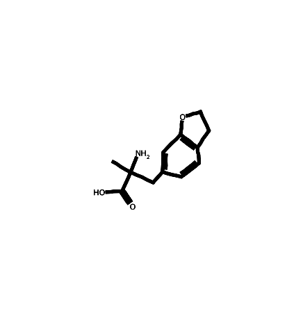 CC(N)(Cc1ccc2c(c1)OCC2)C(=O)O